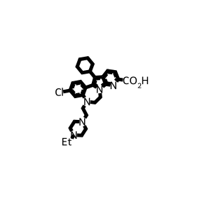 CCN1CCN(CCN2CCn3c(c(C4CCCCC4)c4ccc(C(=O)O)nc43)-c3ccc(Cl)cc32)CC1